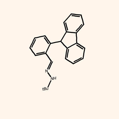 CC(C)(C)NN=Cc1ccccc1C1c2ccccc2-c2ccccc21